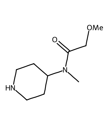 COCC(=O)N(C)C1CCNCC1